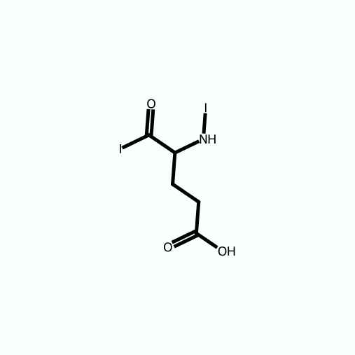 O=C(O)CCC(NI)C(=O)I